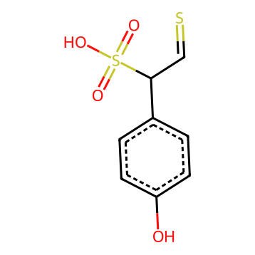 O=S(=O)(O)C(C=S)c1ccc(O)cc1